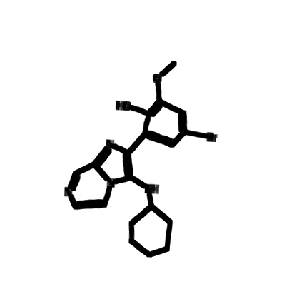 COc1cc(Br)cc(-c2nc3cnccn3c2NC2CCCCC2)c1O